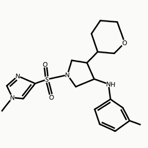 Cc1cccc(NC2CN(S(=O)(=O)c3cn(C)cn3)CC2C2CCCOC2)c1